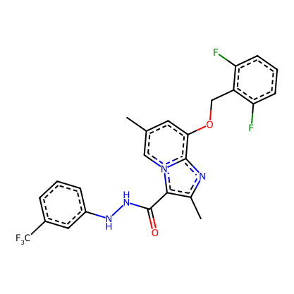 Cc1cc(OCc2c(F)cccc2F)c2nc(C)c(C(=O)NNc3cccc(C(F)(F)F)c3)n2c1